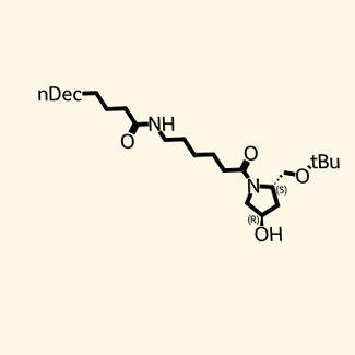 CCCCCCCCCCCCCC(=O)NCCCCCC(=O)N1C[C@H](O)C[C@H]1COC(C)(C)C